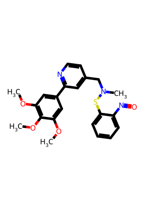 COc1cc(-c2cc(CN(C)Sc3ccccc3N=O)ccn2)cc(OC)c1OC